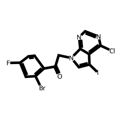 O=C(Cn1cc(I)c2c(Cl)ncnc21)c1ccc(F)cc1Br